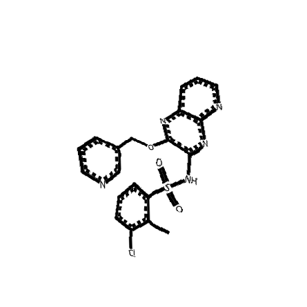 Cc1c(Cl)cccc1S(=O)(=O)Nc1nc2ncccc2nc1OCc1cccnc1